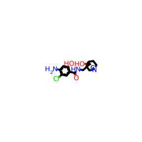 Nc1cc(O)c(C(=O)NCC2(O)CN3CCC2CC3)cc1Cl